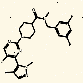 Cc1cnn(C)c1-c1nc(N2CCC(C(=O)N(C)Cc3cc(F)cc(F)c3)CC2)ncc1F